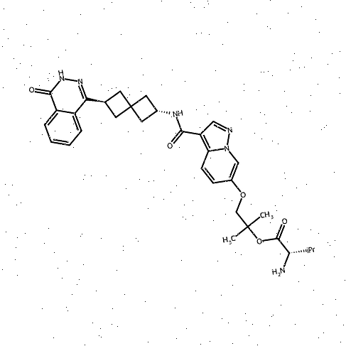 CC(C)[C@H](N)C(=O)OC(C)(C)COc1ccc2c(C(=O)N[C@H]3CC4(C3)C[C@H](c3n[nH]c(=O)c5ccccc53)C4)cnn2c1